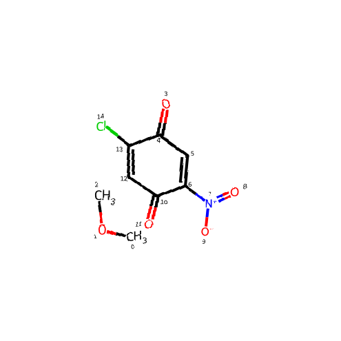 COC.O=C1C=C([N+](=O)[O-])C(=O)C=C1Cl